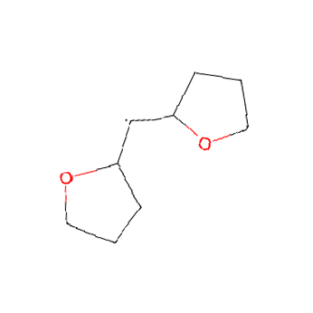 [CH](C1CCCO1)C1CCCO1